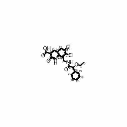 CCOC(C(=O)NCc1c(Cl)c(Cl)cc2cc(C(=O)O)c(=O)[nH]c12)c1ccccc1